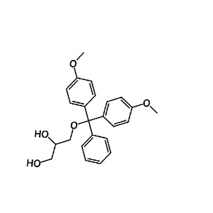 COc1ccc(C(OCC(O)CO)(c2ccccc2)c2ccc(OC)cc2)cc1